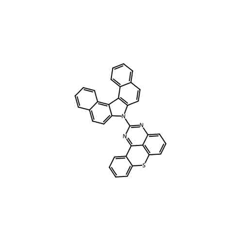 c1ccc2c(c1)Sc1cccc3nc(-n4c5ccc6ccccc6c5c5c6ccccc6ccc54)nc-2c13